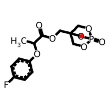 CC(Oc1ccc(F)cc1)C(=O)OCC12COP(=O)(OC1)OC2